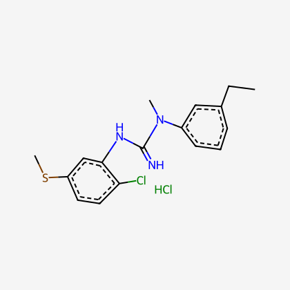 CCc1cccc(N(C)C(=N)Nc2cc(SC)ccc2Cl)c1.Cl